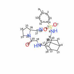 Cc1ccc(S(=O)(=O)NCC23CC4CC(C2)CC(NCC(=O)N2CCCC2C#N)(C4)C3)cc1